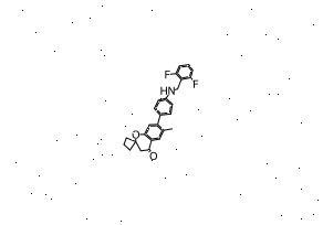 Cc1cc2c(cc1-c1ccc(NCc3c(F)cccc3F)cc1)OC1(CCC1)CC2=O